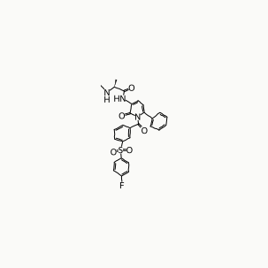 CN[C@@H](C)C(=O)Nc1ccc(-c2ccccc2)n(C(=O)c2cccc(S(=O)(=O)c3ccc(F)cc3)c2)c1=O